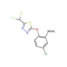 CC(=O)Nc1cc(Cl)ccc1Oc1nnc(C(F)F)s1